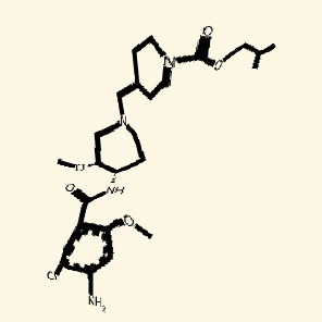 COc1cc(N)c(Cl)cc1C(=O)N[C@H]1CCN(CC2CCN(C(=O)OCC(C)C)CC2)C[C@H]1OC